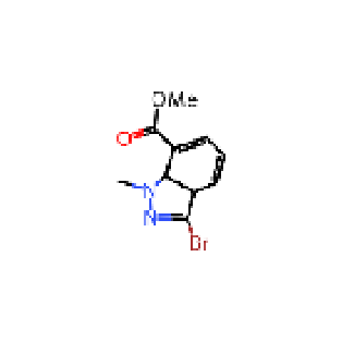 COC(=O)C1=CC=CC2C(Br)=NN(C)C12